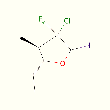 CC[C@H]1OC(I)[C@](F)(Cl)[C@@H]1C